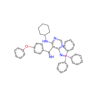 N=C(c1ccc(Oc2ccccc2)cc1)c1c(N=P(c2ccccc2)(c2ccccc2)c2ccccc2)ncnc1NC1CCCCC1